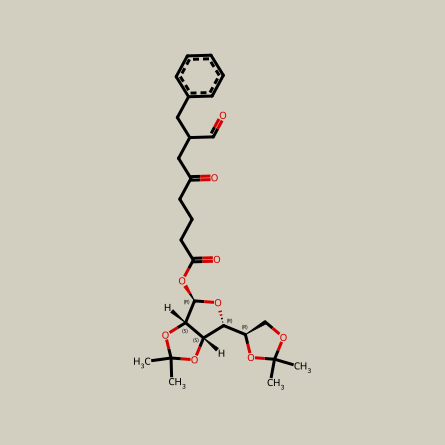 CC1(C)O[C@@H]2[C@H](O1)[C@@H](OC(=O)CCCC(=O)CC(C=O)Cc1ccccc1)O[C@@H]2[C@H]1COC(C)(C)O1